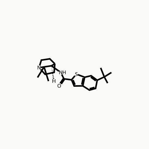 CC(C)(C)c1ccc2cc(C(=O)N[C@@H]3C4CCN(CC4)C3(C)C)sc2c1